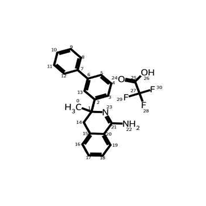 CC1(c2cccc(-c3ccccc3)c2)Cc2ccccc2C(N)=N1.O=C(O)C(F)(F)F